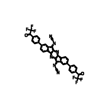 N#C/N=c1\c2cc(-c3ccc(C(=O)C(F)(F)F)cc3)ccc2c2nc3/c(=N/C#N)c4cc(-c5ccc(C(=O)C(F)(F)F)cc5)ccc4c3nc12